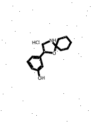 Cl.Oc1cccc(C2CNC3(CCCCC3)O2)c1